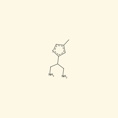 Cc1csc(C(CN)CN)c1